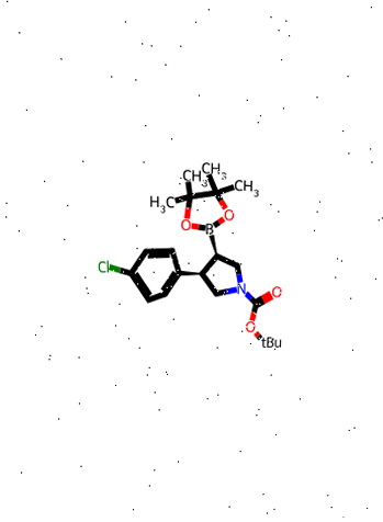 CC(C)(C)OC(=O)N1C[C@H](B2OC(C)(C)C(C)(C)O2)[C@H](c2ccc(Cl)cc2)C1